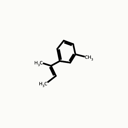 CC=C(C)c1cccc(C)c1